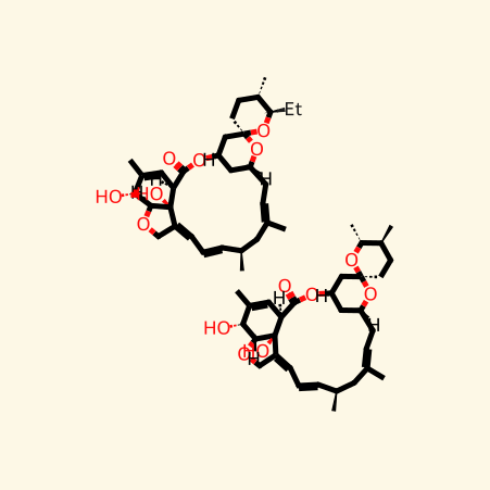 CC1=C[C@H]2C(=O)O[C@H]3C[C@@H](C/C=C(\C)C[C@@H](C)/C=C/C=C4\CO[C@H]([C@@H]1O)[C@@]42O)O[C@@]1(CC[C@H](C)[C@@H](C)O1)C3.CC[C@H]1O[C@]2(CC[C@@H]1C)C[C@@H]1C[C@@H](C/C=C(\C)C[C@@H](C)/C=C/C=C3\CO[C@@H]4[C@H](O)C(C)=C[C@@H](C(=O)O1)[C@]34O)O2